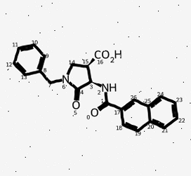 O=C(N[C@H]1C(=O)N(Cc2ccccc2)C[C@H]1C(=O)O)c1ccc2ccccc2c1